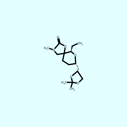 CC[C@H]1O[C@H](C[C@@H]2COC(C)(C)O2)CCC12CN(C)C(=O)O2